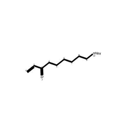 C=CC(=O)CCCCCCCCCCCC